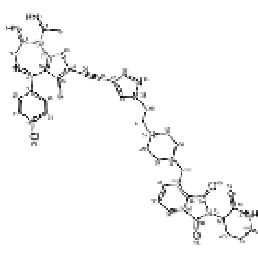 CC(=N)N1C(=N)CN=C(c2ccc(Cl)cc2)c2c1sc(C#Cc1cnn(CCN3CCC(Cc4cccc5c4C(=O)N(C4CCC(=O)NC4=O)C5=O)CC3)c1)c2C